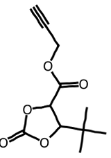 C#CCOC(=O)C1OC(=O)OC1C(C)(C)C